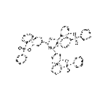 O=P(Oc1cccc(-c2nc(-c3cccc(OP(=O)(c4ccccc4)c4ccccc4)c3)nc(-c3cccc(OP(=O)(c4ccccc4)c4ccccc4)c3)n2)c1)(c1ccccc1)c1ccccc1